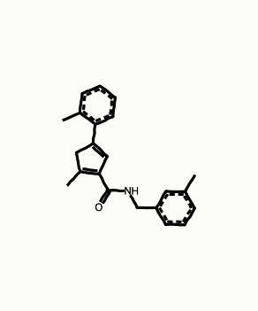 CC1=C(C(=O)NCc2cccc(C)c2)C=C(c2ccccc2C)C1